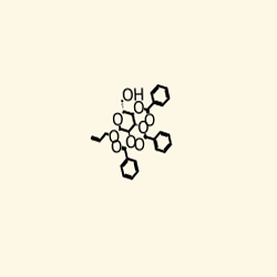 C=CCOC1O[C@H](CO)[C@@H](OC(=O)c2ccccc2)[C@H](OC(=O)c2ccccc2)[C@H]1OC(=O)c1ccccc1